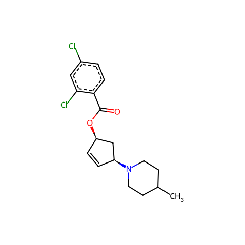 CC1CCN([C@H]2C=C[C@@H](OC(=O)c3ccc(Cl)cc3Cl)C2)CC1